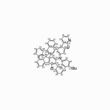 CC(C)(C)c1ccc(N(c2ccc3c(c2)oc2ncccc23)c2cc3c(c4oc5ccccc5c24)-c2ccccc2C32c3ccccc3-c3c2ccc2ccccc32)cc1